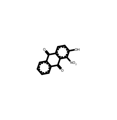 O=C1c2ccccc2C(=O)c2c1ccc(O)c2[N+](=O)[O-]